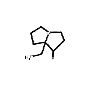 CCC12CCCN1CCC2F